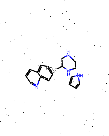 O=C(O)C1CNCCN1.c1cc[nH]c1.c1ccc2ncccc2c1